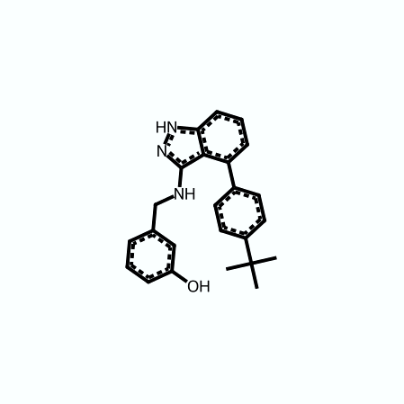 CC(C)(C)c1ccc(-c2cccc3[nH]nc(NCc4cccc(O)c4)c23)cc1